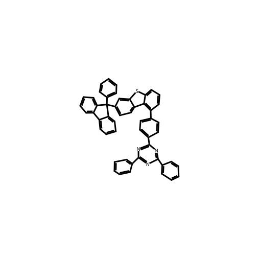 c1ccc(-c2nc(-c3ccccc3)nc(-c3ccc(-c4cccc5sc6cc(C7(c8ccccc8)c8ccccc8-c8ccccc87)ccc6c45)cc3)n2)cc1